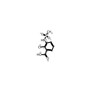 CS(=O)(=O)Nc1cccc(C(=O)O)c1Cl